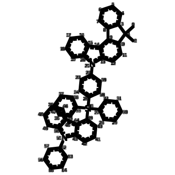 CC1(C)c2ccccc2-c2c1ccc1c2c2ccccc2n1-c1ccc([Si](c2ccccc2)(c2ccccc2)c2cccc3c2c2ccccc2n3-c2ccccc2)cc1